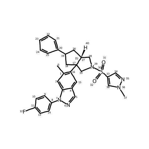 Cc1cc2c(cnn2-c2ccc(F)cc2)cc1C12CC(c3ccccc3)C[C@@H]1CN(S(=O)(=O)c1cnn(C)c1)C2